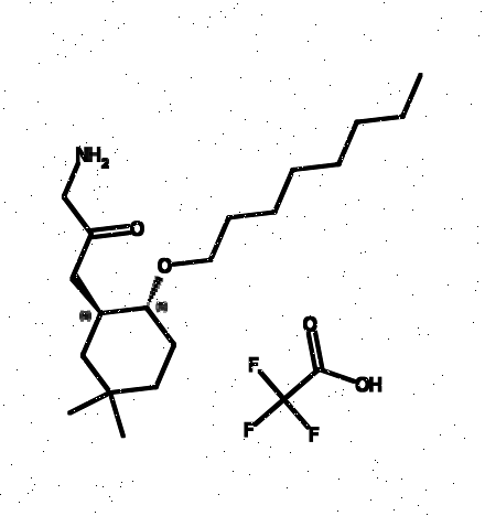 CCCCCCCCO[C@@H]1CCC(C)(C)C[C@H]1CC(=O)CN.O=C(O)C(F)(F)F